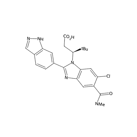 CNC(=O)c1cc2nc(-c3ccc4cn[nH]c4c3)n([C@@H](CC(=O)O)C(C)(C)C)c2cc1Cl